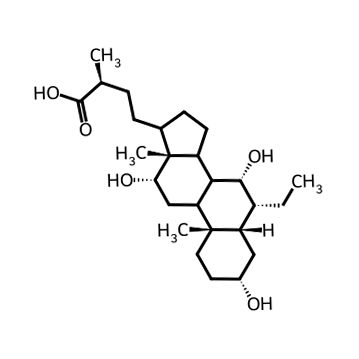 CC[C@H]1[C@@H](O)C2C3CCC(CC[C@H](C)C(=O)O)[C@@]3(C)[C@@H](O)CC2[C@@]2(C)CC[C@@H](O)C[C@@H]12